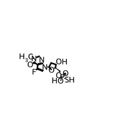 Cn1cnc2c(c(F)cn2[C@H]2C[C@H](O)[C@@H](COP(=O)(O)S)O2)c1=O